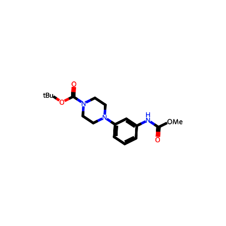 COC(=O)Nc1cccc(N2CCN(C(=O)OC(C)(C)C)CC2)c1